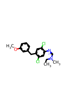 CCN(C)/C=N\c1cc(Cl)c(Cc2cccc(OC)c2)cc1Cl